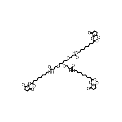 O=C(CCOCCC(COCCC(=O)NCCCCCCCC(=O)ON1C(=O)CCC1=O)OCCC(=O)NCCCCCCCC(=O)ON1C(=O)CCC1=O)NCCCCCCCC(=O)ON1C(=O)CCC1=O